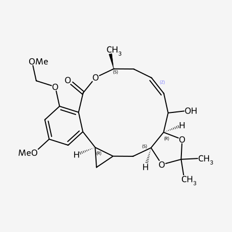 COCOc1cc(OC)cc2c1C(=O)O[C@@H](C)C/C=C\C(O)[C@H]1OC(C)(C)O[C@H]1CC1C[C@@H]21